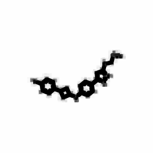 COCOc1cc(-c2ccc(OC3CC(c4ccc(F)cc4)C3)cc2)on1